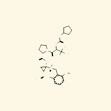 C=C[C@@H]1C[C@]1(NC(=O)[C@@H]1CCCN1C(=O)C(NC(=O)OC1CCCC1)C(C)(C)C)P(=O)(O)Cc1c(F)cccc1OC